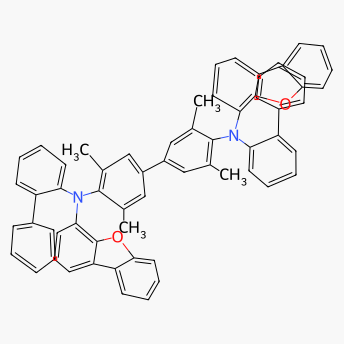 Cc1cc(-c2cc(C)c(N(c3ccccc3-c3ccccc3)c3cccc4c3oc3ccccc34)c(C)c2)cc(C)c1N(c1ccccc1-c1ccccc1)c1cccc2c1oc1ccccc12